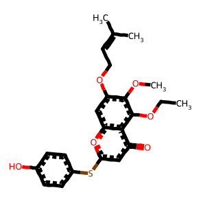 CCOc1c(OC)c(OCC=C(C)C)cc2oc(Sc3ccc(O)cc3)cc(=O)c12